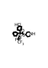 Cl.O=C(OC1CCNCC1)C(OCC(F)(F)C(F)(F)F)(c1ccccc1)c1ccccc1